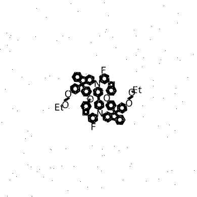 CCOCCOc1ccc(C2(c3ccc(Oc4ccc5c(c4)CC5)cc3)c3ccccc3-c3ccc(N(c4ccc(-c5ccc(N(c6cccc(F)c6)c6ccc7c(c6)C(c6ccc(OCCOCC)cc6)(c6ccc(Oc8ccc9c(c8)CC9)cc6)c6ccccc6-7)cc5)cc4)c4cccc(F)c4)cc32)cc1